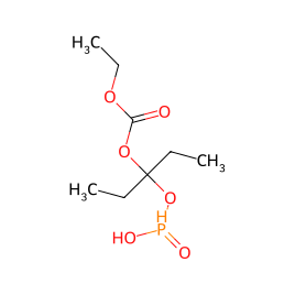 CCOC(=O)OC(CC)(CC)O[PH](=O)O